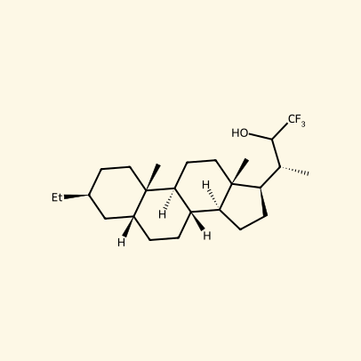 CC[C@H]1CC[C@@]2(C)[C@H](CC[C@@H]3[C@@H]2CC[C@]2(C)[C@@H]([C@@H](C)C(O)C(F)(F)F)CC[C@@H]32)C1